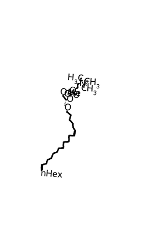 CCCCCC/C=C\CCCCCCCCCC/C=C\CCCCCOC[C@H](COC)OP(=O)([O-])OCC[N+](C)(C)C